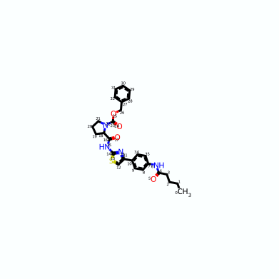 CCCCC(=O)Nc1ccc(-c2csc(NC(=O)C3CCCN3C(=O)OCc3ccccc3)n2)cc1